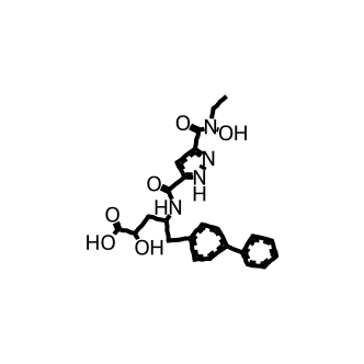 CCN(O)C(=O)c1cc(C(=O)NC(Cc2ccc(-c3ccccc3)cc2)CC(O)C(=O)O)[nH]n1